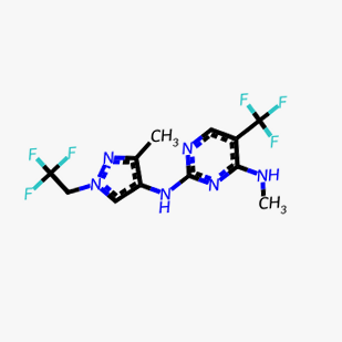 CNc1nc(Nc2cn(CC(F)(F)F)nc2C)ncc1C(F)(F)F